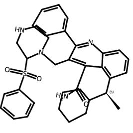 C[C@H](c1cccc2nc(-c3ccccc3)c(CN3CCNCC3S(=O)(=O)c3ccccc3)c(C(N)=O)c12)C1CCCCC1